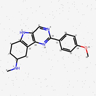 CNC1CCc2[nH]c3cnc(-c4ccc(OC)cc4)nc3c2C1